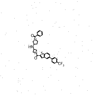 O=C(c1ccccc1)N1CCC(NC2CN(C(=O)c3cc4cc(-c5ccc(C(F)(F)F)cc5)ccc4s3)C2)C1